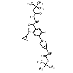 CC(C)(C)OC(=O)NNC(=O)c1cc(F)c(N2CC3C(C2)C3NC(=O)OC(C)(C)C)cc1NC1CC1